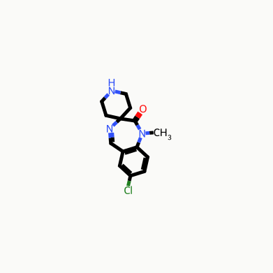 CN1C(=O)C2(CCNCC2)N=Cc2cc(Cl)ccc21